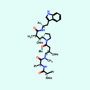 CC[C@H](C)[C@@H]([C@@H](CC(=O)N1CCC[C@H]1[C@H](OC)[C@@H](C)C(=O)N[C@@H](Cc1c[nH]c2ccccc12)C(C)=O)OC)N(C)C(=O)[C@@H](NC(=O)[C@@H](NC)C(C)C)C(C)C